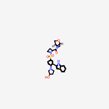 O=C(C1CCN1S(=O)(=O)c1ccc(N2CCC(O)C2)c(-c2cc3ccccc3[nH]2)c1)N1C[C@@H]2C[C@H]1CO2